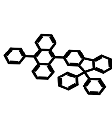 c1ccc(-c2c3ccccc3c(-c3ccc4c(c3)C(c3ccccc3)(c3ccccc3)c3ccccc3-4)c3ccccc23)cc1